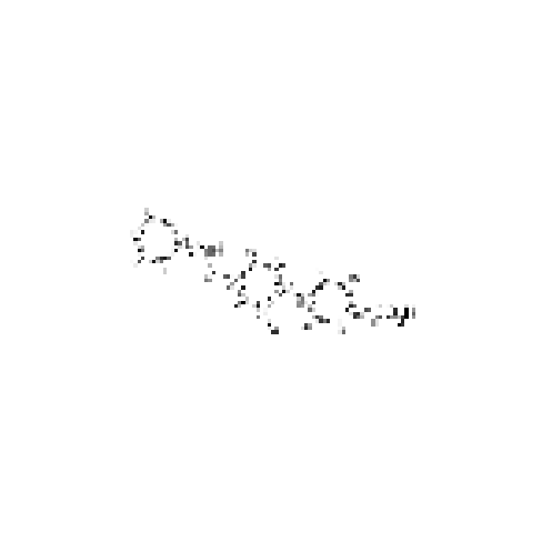 Cc1cc(CNc2ccccc2)ccc1-c1ccc(C(=O)O)cc1